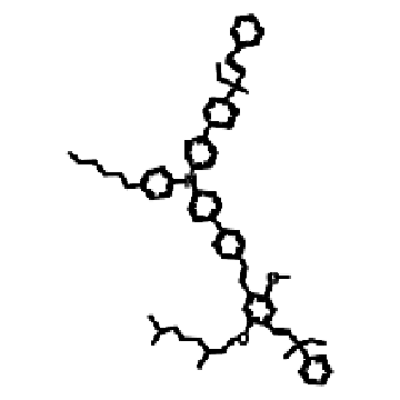 CCCCCCc1ccc(N(c2ccc(-c3ccc(C=Cc4cc(OCCC(C)CCCC(C)C)c(C=CC(C)(CC)c5ccccc5)cc4OC)cc3)cc2)c2ccc(-c3ccc(C(C)(C=Cc4ccccc4)CC)cc3)cc2)cc1